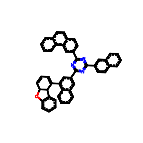 C1=CC2Oc3ccccc3C2C(c2cc(-c3nc(-c4ccc5ccccc5c4)nc(-c4ccc5ccc6ccccc6c5c4)n3)cc3ccccc23)=C1